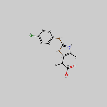 Cc1nc(Sc2ccc(Cl)cc2)sc1C(C)C(=O)O